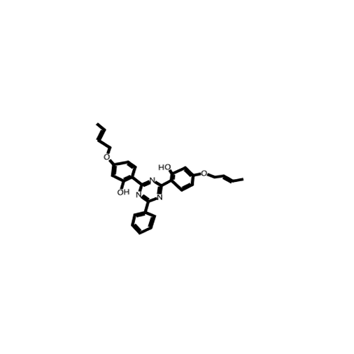 CC=CCOc1ccc(-c2nc(-c3ccccc3)nc(-c3ccc(OCC=CC)cc3O)n2)c(O)c1